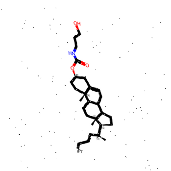 CC(C)CCC[C@H](C)[C@@H]1CCC2C3CC=C4C[C@H](OC(=O)NCCCO)CC[C@@]4(C)C3CC[C@]21C